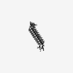 C[Si](C)(C)/C(I)=C\C(F)(F)C(F)(F)C(F)(F)C(F)(F)C(F)(F)C(F)(F)C(F)(F)C(F)(F)C(F)(F)C(F)(F)/C=C(/I)[Si](C)(C)C